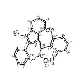 CCn1c(-c2ccccc2)c(C(c2c(F)cccc2Cl)N(C)C)c2ccccc21